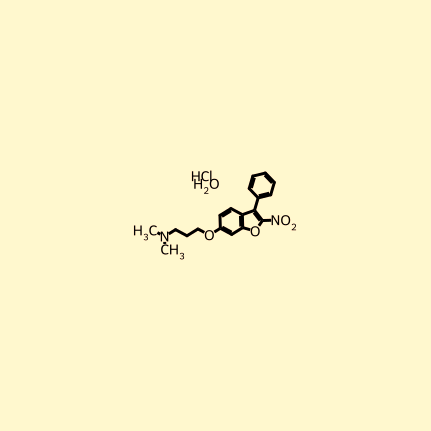 CN(C)CCCOc1ccc2c(-c3ccccc3)c([N+](=O)[O-])oc2c1.Cl.O